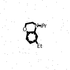 CCc1ccc2c(c1)N(C(C)C)CCO2